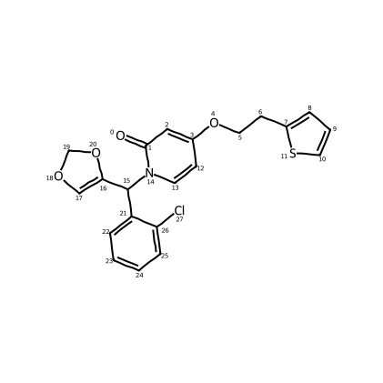 O=c1cc(OCCc2cccs2)ccn1C(C1=COCO1)c1ccccc1Cl